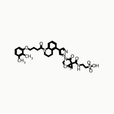 CCN(C(=O)C1(C(=O)NCCS(=O)(=O)O)CC1)n1cc(-c2cccc3c2CCCN3C(=O)CCCOc2cccc(C)c2C)cn1